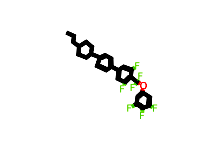 CCCC1CCC(c2ccc(-c3cc(F)c(C(F)(F)Oc4cc(F)c(F)c(F)c4)c(F)c3)cc2)CC1